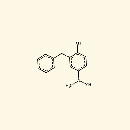 Cc1ccc(N(C)C)cc1Cc1ccccc1